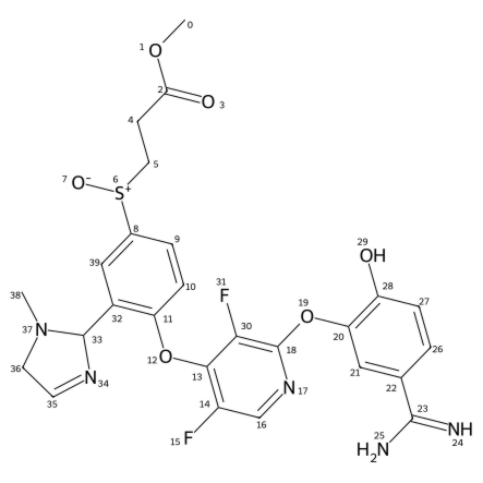 COC(=O)CC[S+]([O-])c1ccc(Oc2c(F)cnc(Oc3cc(C(=N)N)ccc3O)c2F)c(C2N=CCN2C)c1